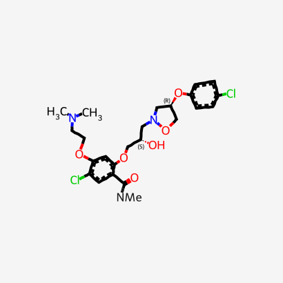 CNC(=O)c1cc(Cl)c(OCCN(C)C)cc1OC[C@@H](O)CN1C[C@@H](Oc2ccc(Cl)cc2)CO1